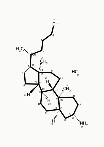 C[C@H](CCCO)[C@H]1CC[C@H]2[C@@H]3CC[C@@H]4C[C@@H](N)CC[C@]4(C)[C@H]3CC[C@]12C.Cl